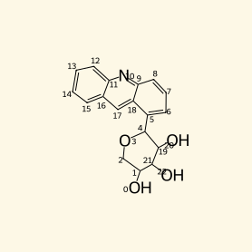 OC1COC(c2cccc3nc4ccccc4cc23)C(O)C1O